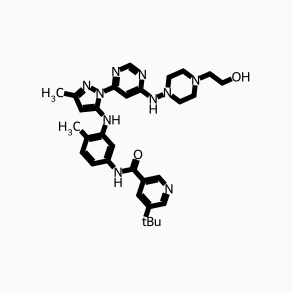 Cc1cc(Nc2cc(NC(=O)c3cncc(C(C)(C)C)c3)ccc2C)n(-c2cc(NN3CCN(CCO)CC3)ncn2)n1